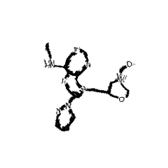 CNc1ncnc2c1nc(-n1cccn1)n2CC1C[NH+]([O-])CO1